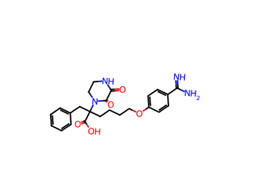 N=C(N)c1ccc(OCCCCC(Cc2ccccc2)(C(=O)O)N2CCNC(=O)C2=O)cc1